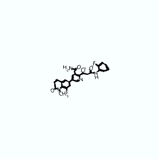 CN1C(=O)CCc2cc(-c3cnc(C(Cl)CC(=O)Nc4ccccc4F)c(C(N)=O)c3)cc(F)c21